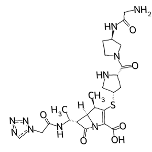 CC(NC(=O)Cn1cnnn1)[C@H]1C(=O)N2C(C(=O)O)=C(S[C@@H]3CN[C@H](C(=O)N4CC[C@@H](NC(=O)CN)C4)C3)[C@H](C)[C@H]12